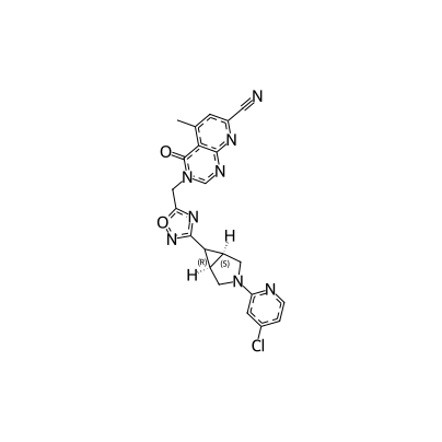 Cc1cc(C#N)nc2ncn(Cc3nc(C4[C@H]5CN(c6cc(Cl)ccn6)C[C@@H]45)no3)c(=O)c12